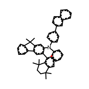 CC1(C)CCC(C)(C)c2c(-c3cc4c(cc3N(c3ccccc3)c3ccc(-c5ccc6ccccc6c5)cc3)C(C)(C)c3ccccc3-4)cccc21